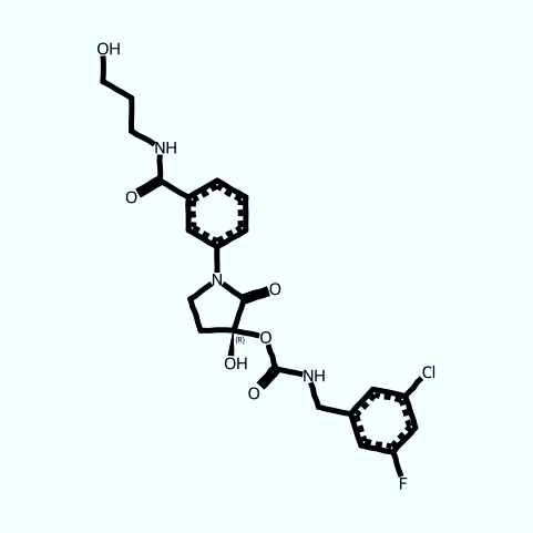 O=C(NCc1cc(F)cc(Cl)c1)O[C@]1(O)CCN(c2cccc(C(=O)NCCCO)c2)C1=O